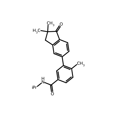 Cc1ccc(C(=O)NC(C)C)cc1-c1ccc2c(c1)CC(C)(C)C2=O